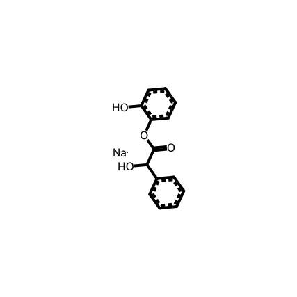 O=C(Oc1ccccc1O)C(O)c1ccccc1.[Na]